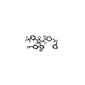 Cc1c(-c2ccnn2-c2ccc(C#N)cc2)n(C(=O)N[C@H]2CC[C@H](C[N+](C)(C)Cc3ccccc3)CC2)c(=O)n1-c1cccc(C(F)(F)F)c1.[Br-]